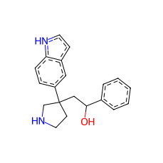 OC(CC1(c2ccc3[nH]ccc3c2)CCNC1)c1ccccc1